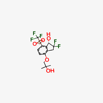 CC(C)(O)COc1ccc(S(=O)(=O)C(F)(F)F)c2c1CC(F)(F)[C@H]2O